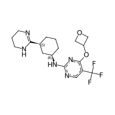 FC(F)(F)c1cnc(N[C@@H]2CCC[C@H](C3=NCCCN3)C2)nc1OC1COC1